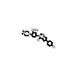 C=S1(=O)CCN(c2ccc(-n3cnn4cc(-c5ccc(Cl)cc5)cc4c3=O)cc2OC)CC1